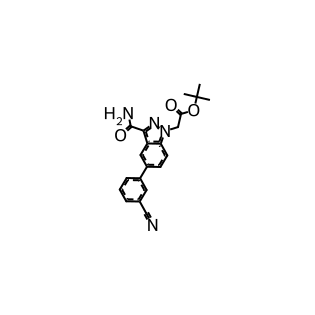 CC(C)(C)OC(=O)Cn1nc(C(N)=O)c2cc(-c3cccc(C#N)c3)ccc21